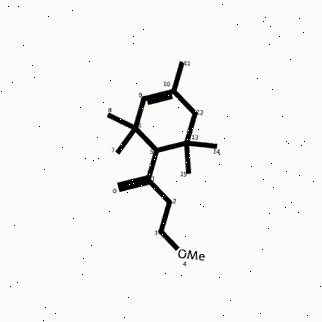 C=C(CCOC)C1C(C)(C)C=C(C)CC1(C)C